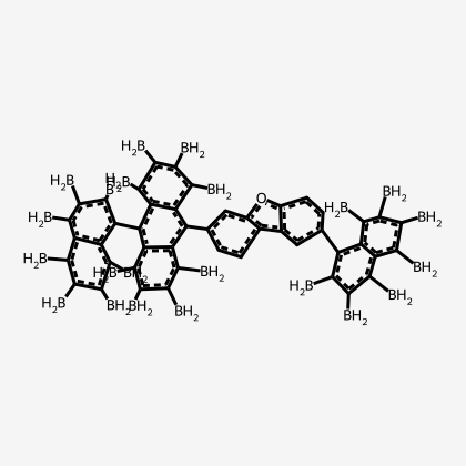 Bc1c(B)c(B)c2c(-c3ccc4oc5cc(-c6c7c(B)c(B)c(B)c(B)c7c(-c7c(B)c(B)c(B)c8c(B)c(B)c(B)c(B)c78)c7c(B)c(B)c(B)c(B)c67)ccc5c4c3)c(B)c(B)c(B)c2c1B